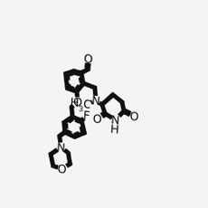 CN(Cc1c(C=O)cccc1OCc1cc(CN2CCOCC2)ccc1F)C1CCC(=O)NC1=O